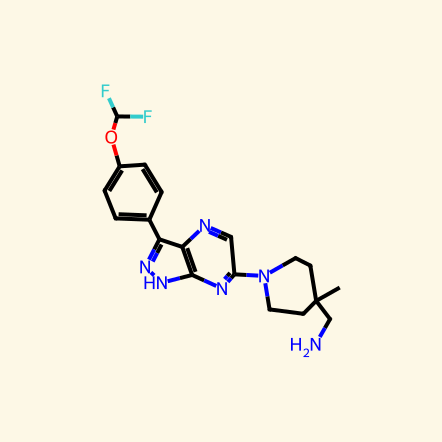 CC1(CN)CCN(c2cnc3c(-c4ccc(OC(F)F)cc4)n[nH]c3n2)CC1